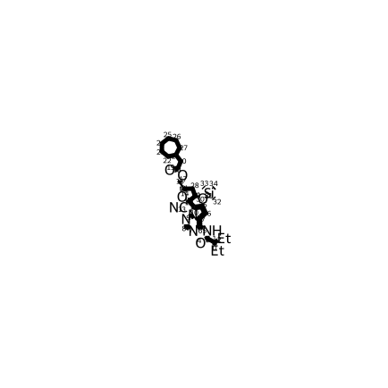 CCC(CC)C(=O)Nc1ncnn2c([C@]3(C#N)O[C@@H](COC(=O)CC4CCCCCC4)[CH][C@H]3O[Si](C)(C)C)ccc12